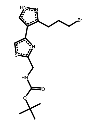 CC(C)(C)OC(=O)NCc1nc(-c2c[nH]nc2CCCBr)cs1